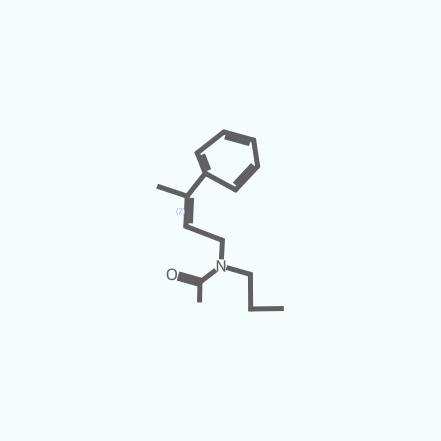 CCCN(C/C=C(/C)c1ccccc1)C(C)=O